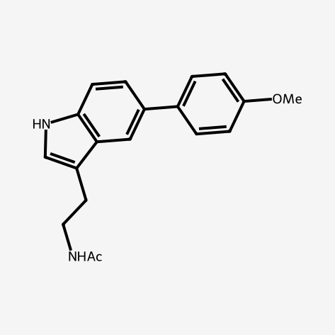 COc1ccc(-c2ccc3[nH]cc(CCNC(C)=O)c3c2)cc1